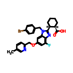 Cc1ccc(COc2cc(F)c3nc([C@H]4CCCC[C@@H]4C(=O)O)n(Cc4ccc(Br)cc4)c3c2)nc1